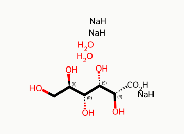 O.O.O=C(O)[C@H](O)[C@@H](O)[C@H](O)[C@H](O)CO.[NaH].[NaH].[NaH]